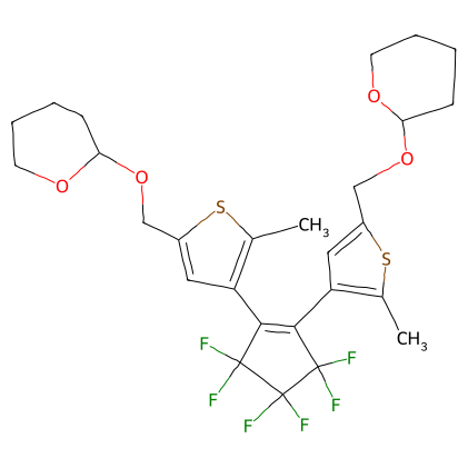 Cc1sc(COC2CCCCO2)cc1C1=C(c2cc(COC3CCCCO3)sc2C)C(F)(F)C(F)(F)C1(F)F